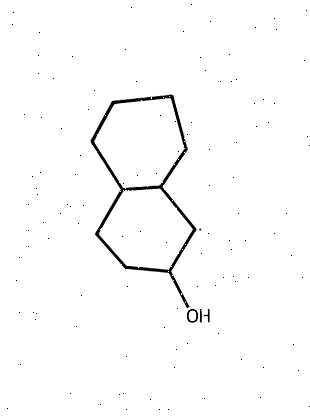 OC1[CH]C2CCCCC2CC1